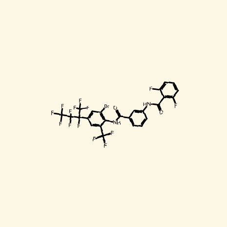 O=C(Nc1c(Br)cc(C(F)(C(F)(F)F)C(F)(F)C(F)(F)F)cc1C(F)(F)F)c1cccc(NC(=O)c2c(F)cccc2F)c1